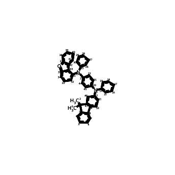 CC1(C)c2ccccc2-c2ccc(N(c3ccccc3)c3ccc(N(c4ccccc4)c4cccc5oc6ccccc6c45)cc3)cc21